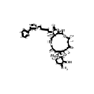 CC[C@H]1OC(=O)[C@H](C)C(=O)[C@H](C)[C@@H](O[C@@H]2O[C@H](C)CC(N)C2O)[C@](C)(OC)C[C@@H](C)CN[C@H](C)[C@H]2N(C/C=C/Cn3cc(-c4ccccn4)nn3)C(=O)O[C@]12C